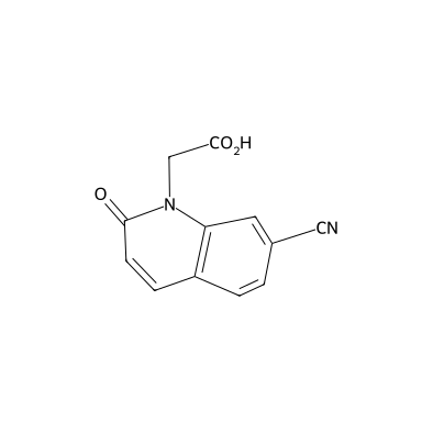 N#Cc1ccc2ccc(=O)n(CC(=O)O)c2c1